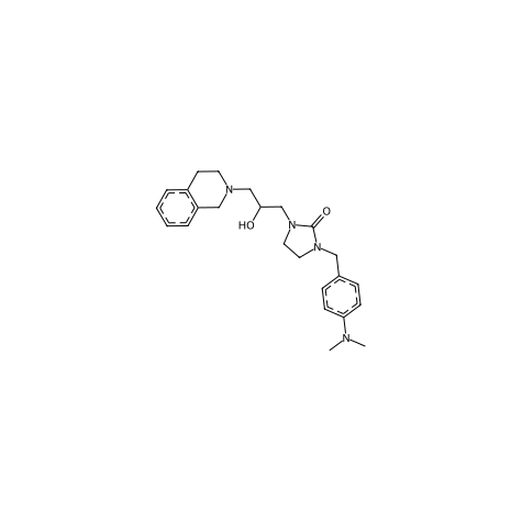 CN(C)c1ccc(CN2CCN(CC(O)CN3CCc4ccccc4C3)C2=O)cc1